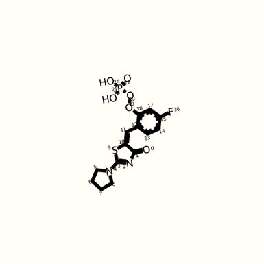 O=C1N=C(N2CCCC2)SC1=Cc1ccc(F)cc1OOP(=O)(O)O